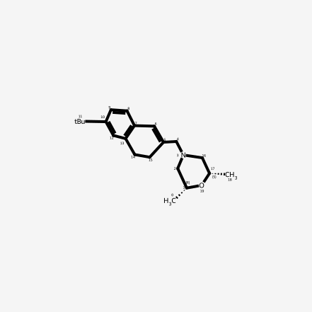 C[C@@H]1CN(CC2=Cc3ccc(C(C)(C)C)cc3CC2)C[C@H](C)O1